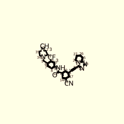 CN1CCN(Cc2ccc(NC(=O)c3cc(C#N)cc(C#Cc4nnc5ccccn45)c3)cc2C(F)(F)F)CC1